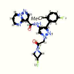 COc1ccc(F)cc1-c1nn(CC(=O)N2CC(F)C2)cc1NC(=O)c1cnn2cccnc12